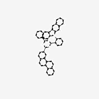 c1ccc(-c2nc(-c3ccc4ccc5c6ccccc6ccc5c4c3)nc(-c3ccccc3-n3c4ccccc4c4cc5ccccc5cc43)n2)cc1